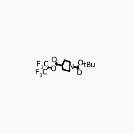 CC(C)(C)OC(=O)N1CCC(C(=O)OC(C(F)(F)F)C(F)(F)F)CC1